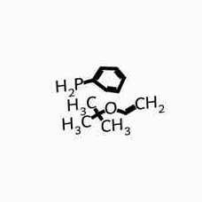 C=COC(C)(C)C.Pc1ccccc1